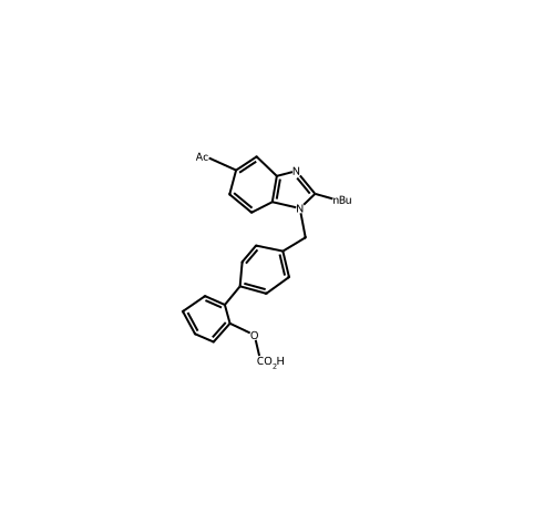 CCCCc1nc2cc(C(C)=O)ccc2n1Cc1ccc(-c2ccccc2OC(=O)O)cc1